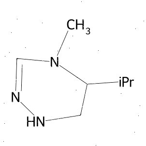 CC(C)C1CNN=CN1C